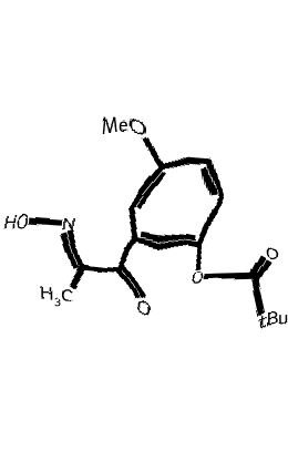 COc1ccc(OC(=O)C(C)(C)C)c(C(=O)C(C)=NO)c1